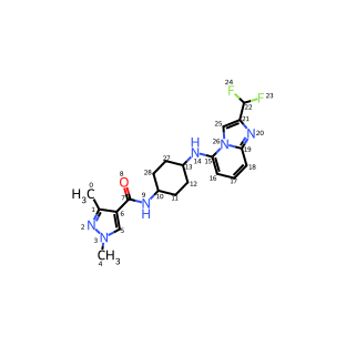 Cc1nn(C)cc1C(=O)NC1CCC(Nc2cccc3nc(C(F)F)cn23)CC1